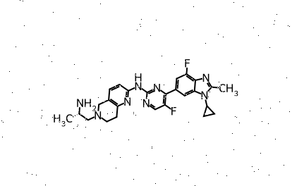 Cc1nc2c(F)cc(-c3nc(Nc4ccc5c(n4)CCN(C[C@H](C)N)C5)ncc3F)cc2n1C1CC1